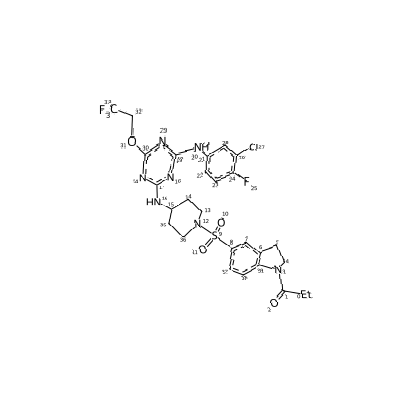 CCC(=O)N1CCc2cc(S(=O)(=O)N3CCC(Nc4nc(Nc5ccc(F)c(Cl)c5)nc(OCC(F)(F)F)n4)CC3)ccc21